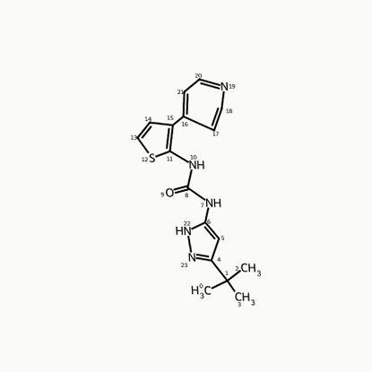 CC(C)(C)c1cc(NC(=O)Nc2sccc2-c2ccncc2)[nH]n1